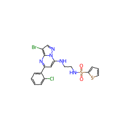 O=S(=O)(NCCNc1cc(-c2ccccc2Cl)nc2c(Br)cnn12)c1cccs1